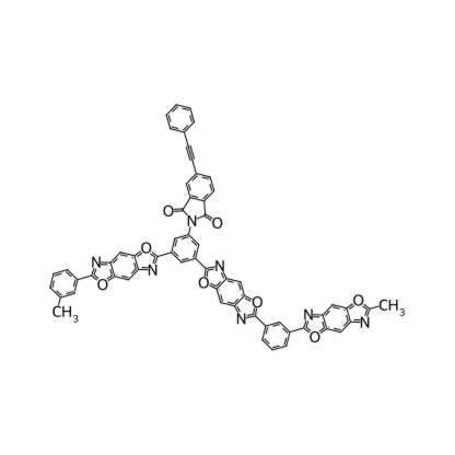 Cc1cccc(-c2nc3cc4oc(-c5cc(-c6nc7cc8oc(-c9cccc(-c%10nc%11cc%12oc(C)nc%12cc%11o%10)c9)nc8cc7o6)cc(N6C(=O)c7ccc(C#Cc8ccccc8)cc7C6=O)c5)nc4cc3o2)c1